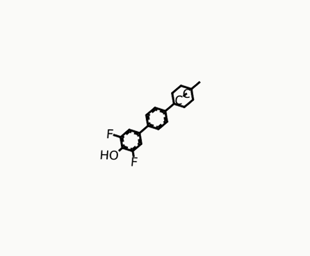 CC12CCC(c3ccc(-c4cc(F)c(O)c(F)c4)cc3)(CC1)CC2